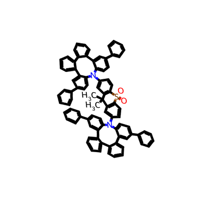 CC1(C)c2cc(-n3c4ccc(-c5ccccc5)cc4c4ccccc4c4ccccc4c4cc(-c5ccccc5)ccc43)ccc2S(=O)(=O)c2ccc(-n3c4ccc(-c5ccccc5)cc4c4ccccc4c4ccccc4c4cc(-c5ccccc5)ccc43)cc21